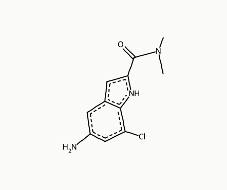 CN(C)C(=O)c1cc2cc(N)cc(Cl)c2[nH]1